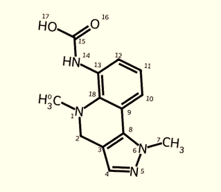 CN1Cc2cnn(C)c2-c2cccc(NC(=O)O)c21